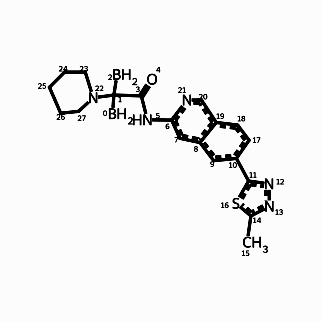 BC(B)(C(=O)Nc1cc2cc(-c3nnc(C)s3)ccc2cn1)N1CCCCC1